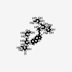 C[C@H](CCC(OC1OC(COC2OC(CO)C(O)C(O)C2O)C(O)C(O)C1OC1OC(CO)C(O)C(O)C1O)C(C)(C)O)[C@@]1(I)CC[C@@]2(C)C3CC=C4C(CC[C@H](OC5OC(COC6OC(CO)C(O)C(O)C6O)C(O)C(O)C5OC5OC(CO)C(O)C(O)C5O)C4(C)C)[C@]3(C)CC[C@@]21C